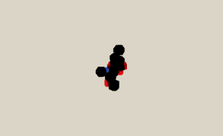 c1ccc(-c2ccc3c4c(cccc24)C2(c4ccccc4Oc4ccccc42)c2cc(N(c4ccccc4)c4ccc5c(c4)oc4ccccc45)ccc2-3)cc1